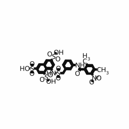 Cc1cc(C)c([N+](=O)[O-])cc1C(=O)Nc1cccc(CS(=O)(=O)Nc2cc(S(=O)(=O)O)cc3cc(S(=O)(=O)O)cc(S(=O)(=O)O)c23)c1